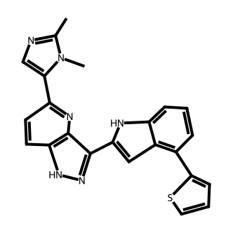 Cc1ncc(-c2ccc3[nH]nc(-c4cc5c(-c6cccs6)cccc5[nH]4)c3n2)n1C